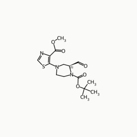 COC(=O)c1ncsc1N1CCN(C(=O)OC(C)(C)C)[C@H](C=O)C1